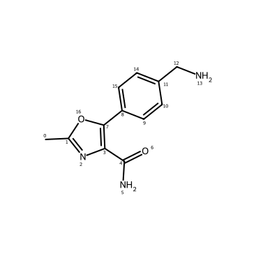 Cc1nc(C(N)=O)c(-c2ccc(CN)cc2)o1